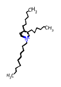 CCCCCCCCCC[n+]1ccc(CCCCCC)c(CCCCCC)c1